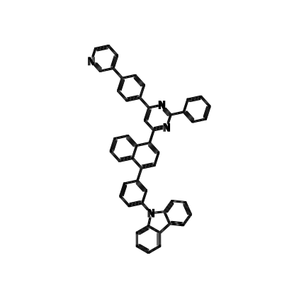 c1ccc(-c2nc(-c3ccc(-c4cccnc4)cc3)cc(-c3ccc(-c4cccc(-n5c6ccccc6c6ccccc65)c4)c4ccccc34)n2)cc1